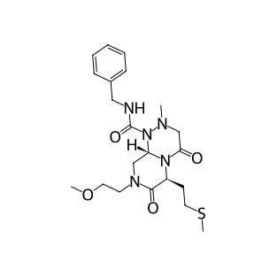 COCCN1C[C@H]2N(C(=O)CN(C)N2C(=O)NCc2ccccc2)[C@@H](CCSC)C1=O